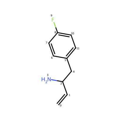 C=CC(N)Cc1ccc(F)cc1